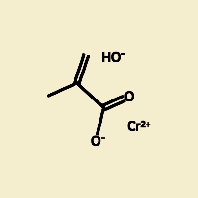 C=C(C)C(=O)[O-].[Cr+2].[OH-]